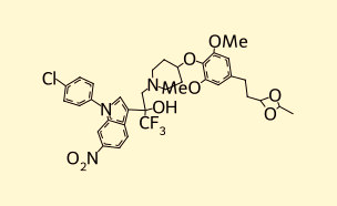 COc1cc(CCC2OC(C)O2)cc(OC)c1OC1CCN(CC(O)(c2cn(-c3ccc(Cl)cc3)c3cc([N+](=O)[O-])ccc23)C(F)(F)F)CC1